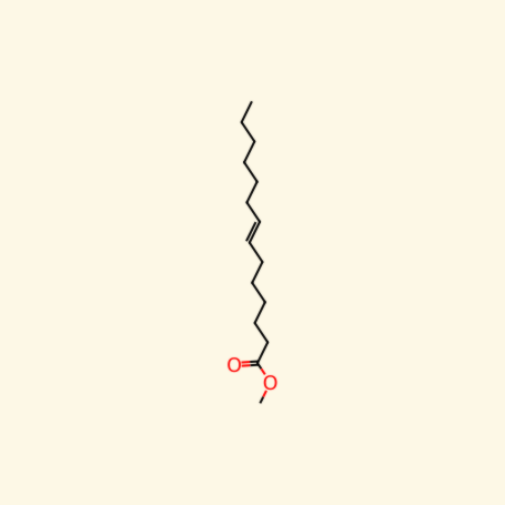 CCCCCC/C=C/CCCCCC(=O)OC